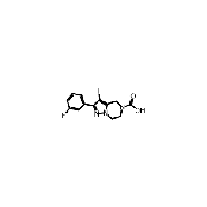 O=C(O)N1CCn2nc(-c3cccc(F)c3)c(I)c2C1